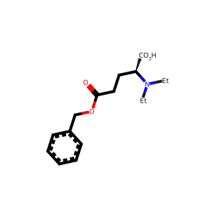 CCN(CC)[C@@H](CCC(=O)OCc1ccccc1)C(=O)O